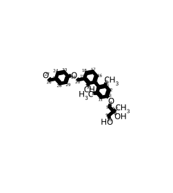 Cc1cc(OCC(C)(O)CO)cc(C)c1-c1cccc(COc2ccc(C=O)cc2)c1C